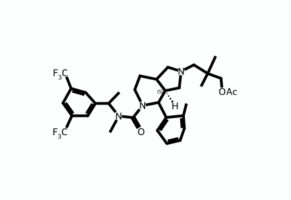 CC(=O)OCC(C)(C)CN1CC2CCN(C(=O)N(C)C(C)c3cc(C(F)(F)F)cc(C(F)(F)F)c3)C(c3ccccc3C)[C@@H]2C1